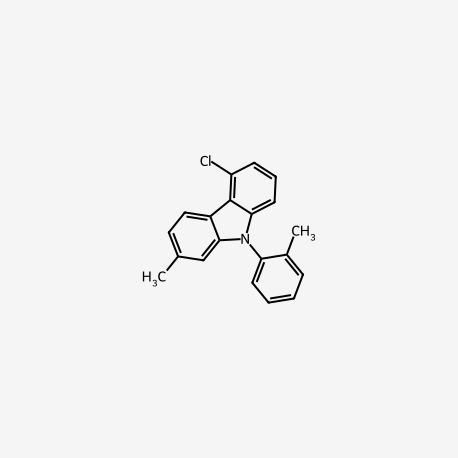 Cc1ccc2c3c(Cl)cccc3n(-c3ccccc3C)c2c1